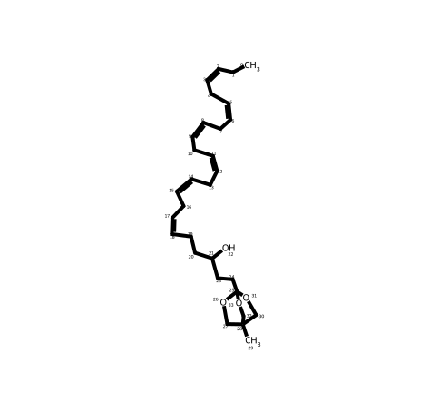 CC/C=C\C/C=C\C/C=C\C/C=C\C/C=C\C/C=C\CCC(O)CCC12OCC(C)(CO1)CO2